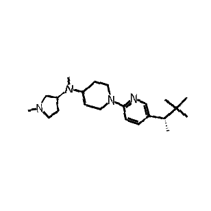 C[C@H](c1ccc(N2CCC(N(C)C3CCN(C)C3)CC2)nc1)C(C)(C)C